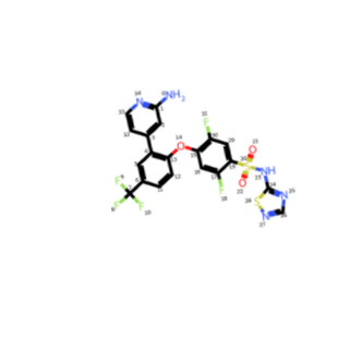 Nc1cc(-c2cc(C(F)(F)F)ccc2Oc2cc(F)c(S(=O)(=O)Nc3ncns3)cc2F)ccn1